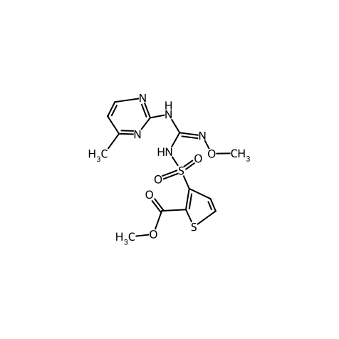 CON=C(Nc1nccc(C)n1)NS(=O)(=O)c1ccsc1C(=O)OC